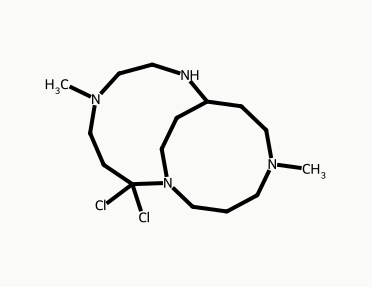 CN1CCCN2CCC(CC1)NCCN(C)CCC2(Cl)Cl